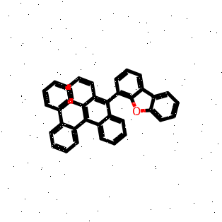 c1ccc(-c2ccccc2-c2c3ccccc3c(-c3cccc4c3oc3ccccc34)c3ccccc23)cc1